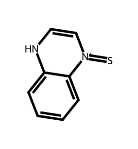 S=[n+]1cc[nH]c2ccccc21